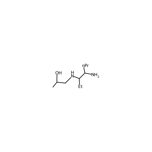 CCCC(N)C(CC)NCC(C)O